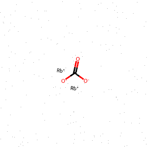 O=C([O-])[O-].[Rb+].[Rb+]